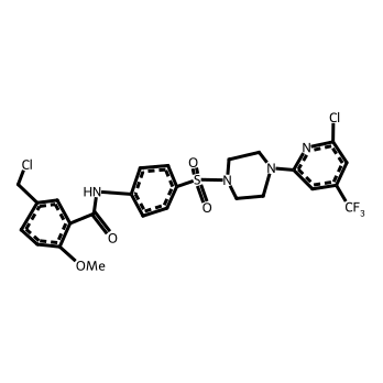 COc1ccc(CCl)cc1C(=O)Nc1ccc(S(=O)(=O)N2CCN(c3cc(C(F)(F)F)cc(Cl)n3)CC2)cc1